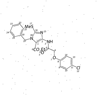 CCOC(=O)c1c(NC(=O)COc2ccc(Cl)cc2)nc(SC)n1Cc1ccccc1